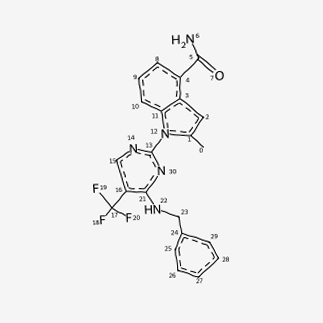 Cc1cc2c(C(N)=O)cccc2n1-c1ncc(C(F)(F)F)c(NCc2ccccc2)n1